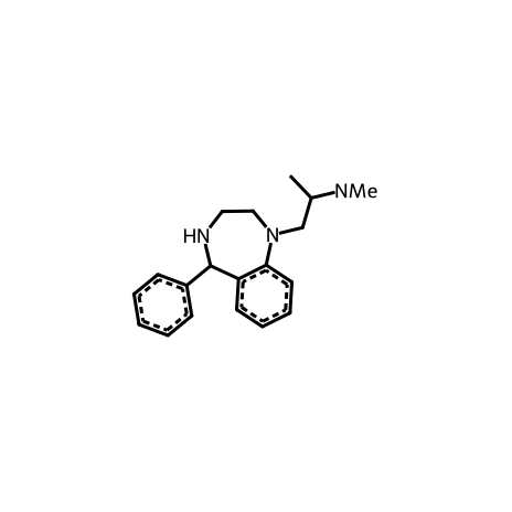 CNC(C)CN1CCNC(c2ccccc2)c2ccccc21